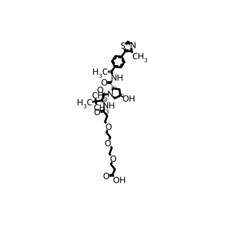 Cc1ncsc1-c1ccc([C@H](C)NC(=O)[C@@H]2C[C@@H](O)CN2C(=O)[C@@H](NC(=O)CCOCCOCCOCCC(=O)O)C(C)(C)C)cc1